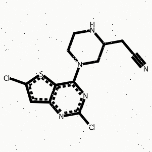 N#CCC1CN(c2nc(Cl)nc3cc(Cl)sc23)CCN1